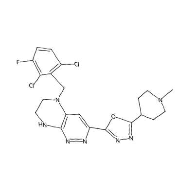 CN1CCC(c2nnc(-c3cc4c(nn3)NCCN4Cc3c(Cl)ccc(F)c3Cl)o2)CC1